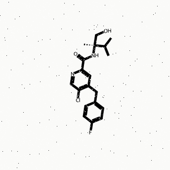 CC(C)[C@](C)(CO)NC(=O)c1cc(Cc2ccc(F)cc2)c(Cl)cn1